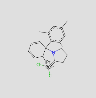 Cc1cc(C)c(C2(N3CCC[C]3=[Ru-2]([Cl])[Cl])C=CC=CC2C(C)C)c(C)c1